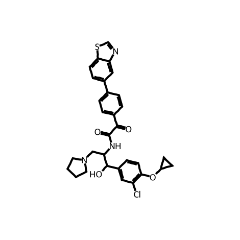 O=C(NC(CN1CCCC1)C(O)c1ccc(OC2CC2)c(Cl)c1)C(=O)c1ccc(-c2ccc3scnc3c2)cc1